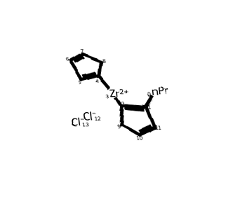 CCCC1=[C]([Zr+2][C]2=CC=CC2)CC=C1.[Cl-].[Cl-]